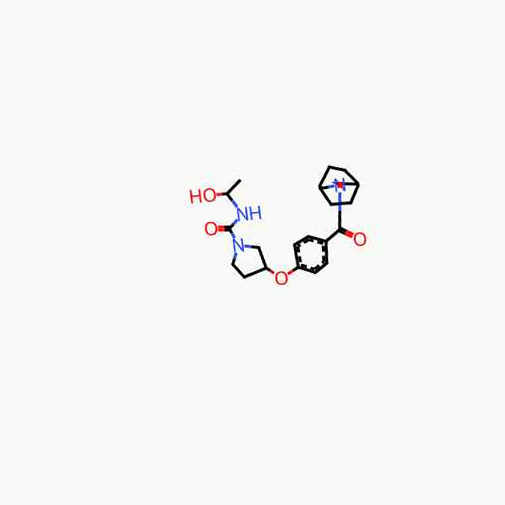 CC(O)NC(=O)N1CCC(Oc2ccc(C(=O)N3CC4CCC(CC4)C3)cc2)C1